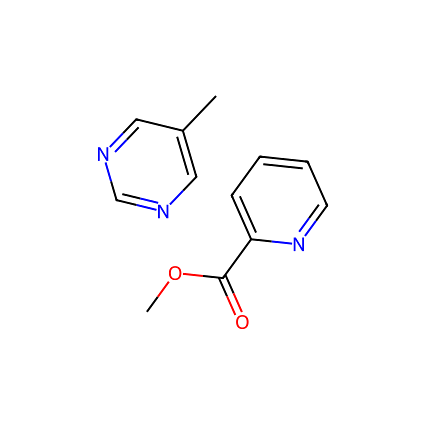 COC(=O)c1ccccn1.Cc1cncnc1